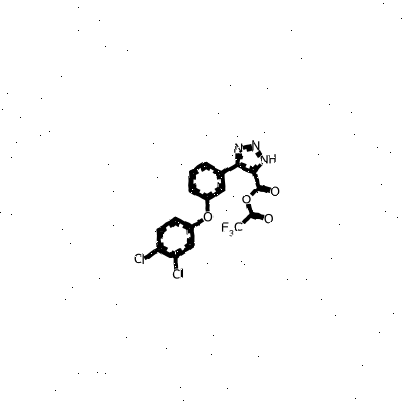 O=C(OC(=O)C(F)(F)F)c1[nH]nnc1-c1cccc(Oc2ccc(Cl)c(Cl)c2)c1